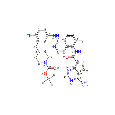 Cc1ccc2c(Nc3ccc(Cl)c(CN4CCN(C(=O)OC(C)(C)C)CC4)c3)nccc2c1NC(=O)c1csc2c(N)ncnc12